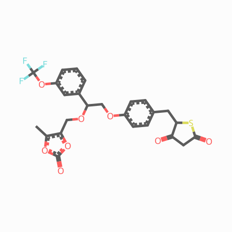 Cc1oc(=O)oc1COC(COc1ccc(CC2SC(=O)CC2=O)cc1)c1cccc(OC(F)(F)F)c1